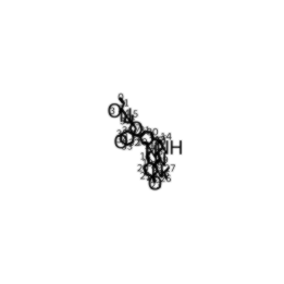 C=CC(=O)N1CC(OC2(c3ccc([C@H](C)Nc4ncc5ccc(=O)n(C(C)C)c5n4)cc3)CCOCC2)C1